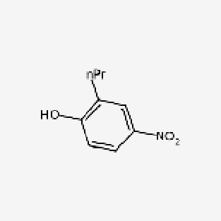 CCCc1cc([N+](=O)[O-])ccc1O